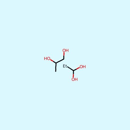 CC(O)CO.CCC(O)O